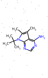 Cc1c(C)n(C(C)(C)C)c2ncnc(N)c12